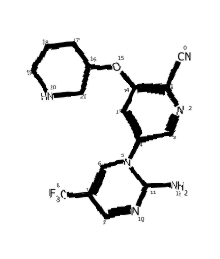 N#Cc1ncc(N2C=C(C(F)(F)F)C=NC2N)cc1OC1CCCNC1